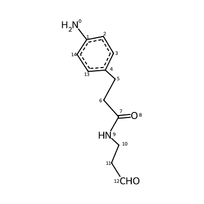 Nc1ccc(CCC(=O)NCCC=O)cc1